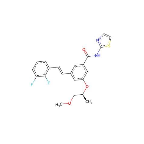 COC[C@H](C)Oc1cc(C=Cc2cccc(F)c2F)cc(C(=O)Nc2nccs2)c1